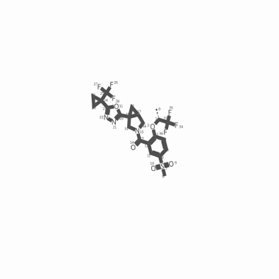 C[C@@H](Oc1ccc(S(C)(=O)=O)cc1C(=O)N1CC2CC2(c2nnc(C3(C(F)(F)F)CC3)o2)C1)C(F)(F)F